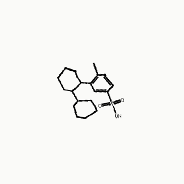 Cc1ccc(S(=O)(=O)O)cc1C1CCCCC1C1CCCCC1